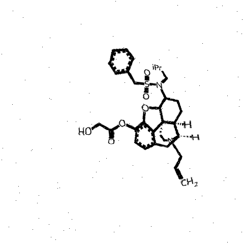 C=CCN1CC[C@]23c4c5ccc(OC(=O)CO)c4OC2C(N(CC(C)C)S(=O)(=O)Cc2ccccc2)CC[C@H]3[C@H]1C5